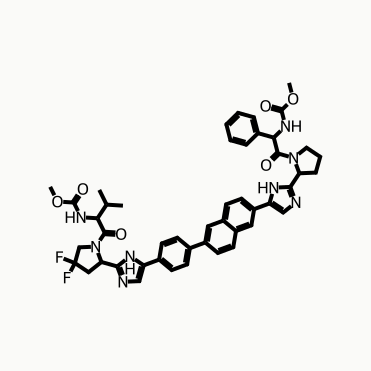 COC(=O)NC(C(=O)N1CCCC1c1ncc(-c2ccc3cc(-c4ccc(-c5cnc(C6CC(F)(F)CN6C(=O)C(NC(=O)OC)C(C)C)[nH]5)cc4)ccc3c2)[nH]1)c1ccccc1